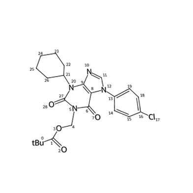 CC(C)(C)C(=O)OCn1c(=O)c2c(ncn2-c2ccc(Cl)cc2)n(C2CCCCC2)c1=O